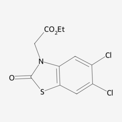 CCOC(=O)Cn1c(=O)sc2cc(Cl)c(Cl)cc21